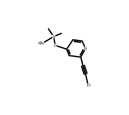 CCC#Cc1cc(O[Si](C)(C)C(C)(C)C)ccn1